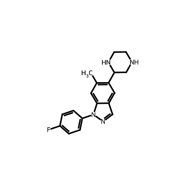 Cc1cc2c(cnn2-c2ccc(F)cc2)cc1C1CNCCN1